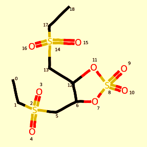 CCS(=O)(=O)CC1OS(=O)(=O)OC1CS(=O)(=O)CC